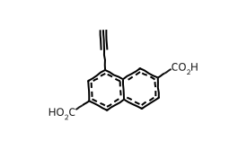 C#Cc1cc(C(=O)O)cc2ccc(C(=O)O)cc12